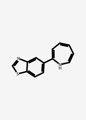 C1=CC=C(c2ccc3scnc3c2)NC=C1